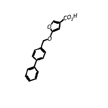 O=C(O)c1coc(OCc2ccc(-c3ccccc3)cc2)c1